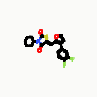 O=C1S/C(=C\c2occc2-c2ccc(F)c(F)c2)C(=O)N1C1CCCCC1